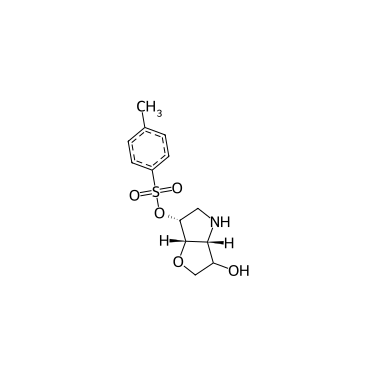 Cc1ccc(S(=O)(=O)O[C@@H]2CN[C@@H]3C(O)CO[C@@H]32)cc1